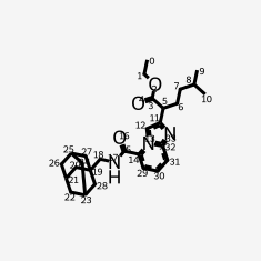 CCOC(=O)C(CCC(C)C)c1cn2c(C(=O)NCC34CC5CC(CC(C5)C3)C4)cccc2n1